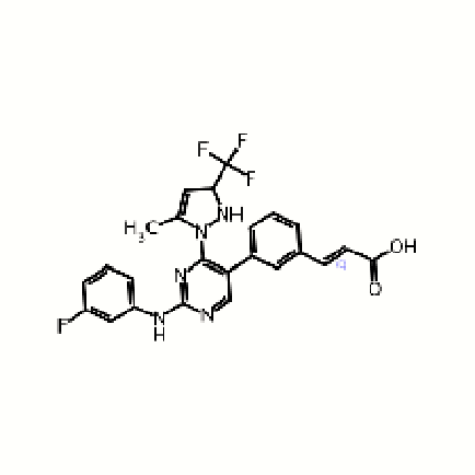 CC1=CC(C(F)(F)F)NN1c1nc(Nc2cccc(F)c2)ncc1-c1cccc(/C=C/C(=O)O)c1